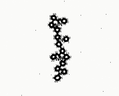 c1ccc(-n2c3cc(-c4ccc5c(c4)-c4cc6ccccc6nc4-n4c6cc(-c7cccc8c7c7ccccc7n8-c7ccccc7)ccc6c6cccc-5c64)ccc3c3ccc(-c4ccc5c(c4)c4cccc6c4n5-c4nc5ccccc5cc4-c4ccccc4-6)cc32)cc1